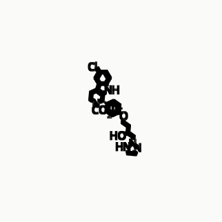 CCOC(=O)N1CCC2=C(NC3C=CC(Cl)=CC23)[C@@H]1c1ccc(OCCC(O)CN2N=CCN2)cc1